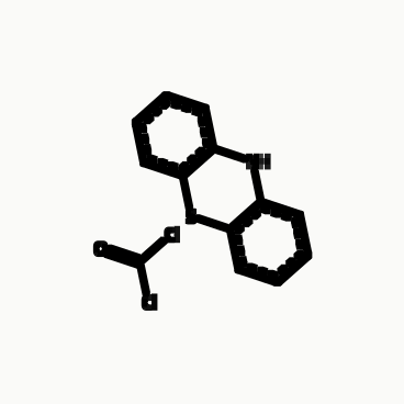 O=C(Cl)Cl.c1ccc2c(c1)Nc1ccccc1S2